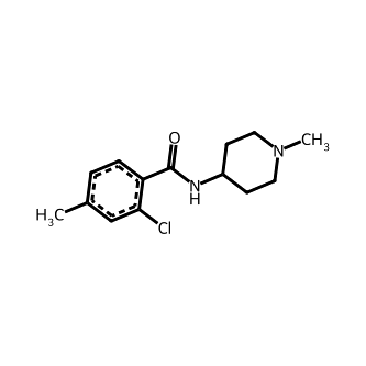 Cc1ccc(C(=O)NC2CCN(C)CC2)c(Cl)c1